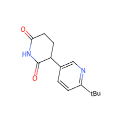 CC(C)(C)c1ccc(C2CCC(=O)NC2=O)cn1